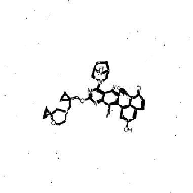 C#Cc1c(Cl)ccc2cc(O)cc(-c3c(C)cc4c(N5CC6CCC(C5)N6)nc(OCC5(CN6CCOC7(CC7)C6)CC5)nc4c3F)c12